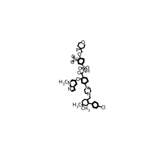 [CH2]n1cc(Oc2cc(N3CCN(CC4=C(c5ccc(Cl)cc5)CC(C)(C)CC4)CC3)ccc2C(=O)NS(=O)(=O)c2ccc(OCC3(F)CCOCC3)c([N+](=O)[O-])c2)cc2ccnc1-2